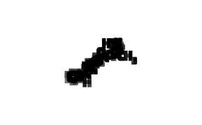 C[C@@H](COCC(=O)N1Cc2cnc(NC3Cc4ccccc4C3)nc2C1)c1c[nH]nn1